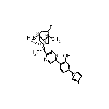 B[C@]12C[C@@H](N(C)c3ncc(-c4ccc(-n5ccnc5)cc4O)nn3)[C@H](F)[C@](B)(CC1F)C2